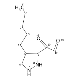 CCCCCC1CNNC1C(=O)C=O